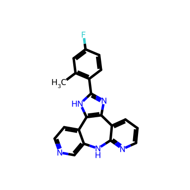 Cc1cc(F)ccc1-c1nc2c([nH]1)-c1ccncc1Nc1ncccc1-2